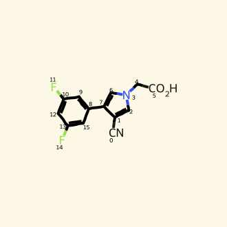 N#Cc1cn(CC(=O)O)cc1-c1cc(F)cc(F)c1